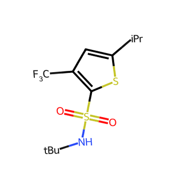 CC(C)c1cc(C(F)(F)F)c(S(=O)(=O)NC(C)(C)C)s1